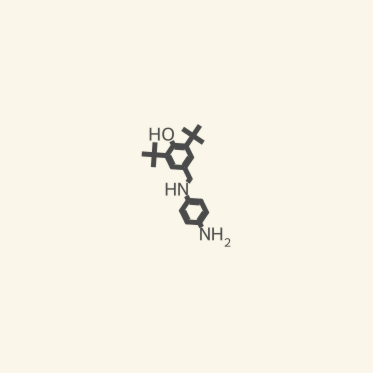 CC(C)(C)c1cc(CNc2ccc(N)cc2)cc(C(C)(C)C)c1O